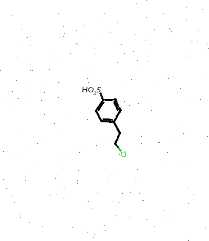 O=S(=O)(O)c1ccc(CCCl)cc1